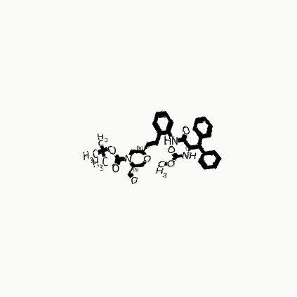 COC(=O)N[C@H](C(=O)Nc1ccccc1CC[C@@H]1CN(C(=O)OC(C)(C)C)[C@H](C=O)CO1)C(c1ccccc1)c1ccccc1